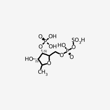 CC1OC(COP(=O)(O)OS(=O)(=O)O)[C@@H](OP(=O)(O)O)[C@H]1O